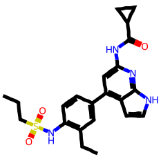 CCCS(=O)(=O)Nc1ccc(-c2cc(NC(=O)C3CC3)nc3[nH]ccc23)cc1CC